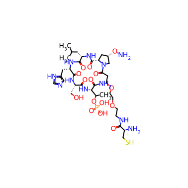 CC(C)C[C@H](NC(=O)[C@@H]1C[C@H](ON)CN1C(=O)CCOCCOCCNC(=O)[C@@H](N)CS)C(=O)N[C@@H](Cc1cnc[nH]1)C(=O)N[C@@H](CO)C(=O)N[C@H](C(N)=O)C(C)OP(=O)(O)O